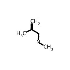 C=C(C)C[N]C